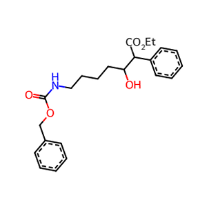 CCOC(=O)C(c1ccccc1)C(O)CCCCNC(=O)OCc1ccccc1